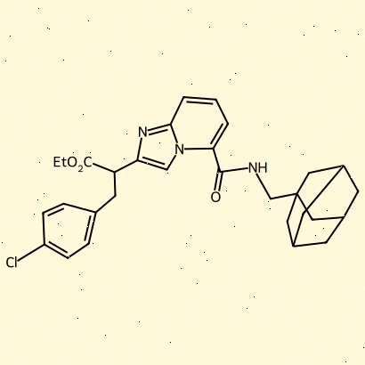 CCOC(=O)C(Cc1ccc(Cl)cc1)c1cn2c(C(=O)NCC34CC5CC(CC(C5)C3)C4)cccc2n1